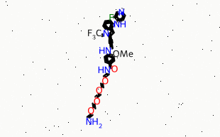 COc1cc(C(=O)NCCOCCOCCOCCOCCN)ccc1NCC#Cc1cc2c(N[C@@H]3CCN(C)C[C@@H]3F)cccc2n1CC(F)(F)F